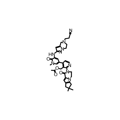 CC(=O)OCc1c(-c2cc(Nc3cc4n(n3)CCN(CCC#N)C4)c(=O)n(C)c2)ccnc1N1CCn2c(cc3c2CC(C)(C)C3)C1=O